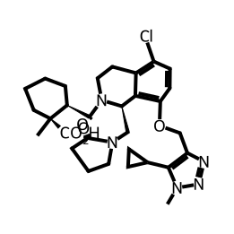 Cn1nnc(COc2ccc(Cl)c3c2[C@@H](CN2CCCC2=O)N(C(=O)[C@@H]2CCCC[C@]2(C)C(=O)O)CC3)c1C1CC1